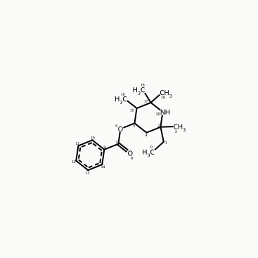 CCC1(C)CC(OC(=O)c2ccccc2)C(C)C(C)(C)N1